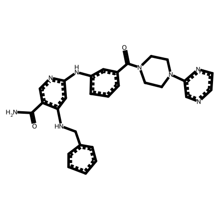 NC(=O)c1cnc(Nc2cccc(C(=O)N3CCN(c4cnccn4)CC3)c2)cc1NCc1ccccc1